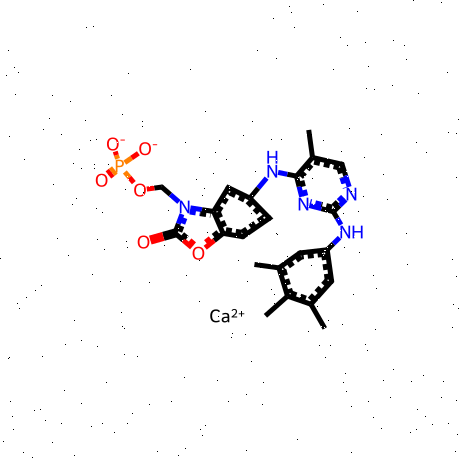 Cc1cnc(Nc2cc(C)c(C)c(C)c2)nc1Nc1ccc2oc(=O)n(COP(=O)([O-])[O-])c2c1.[Ca+2]